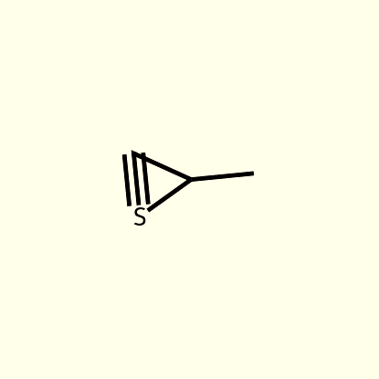 CC1C#S1